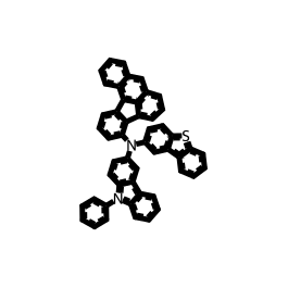 c1ccc(-n2c3ccccc3c3cc(N(c4ccc5sc6ccccc6c5c4)c4cccc5c4-c4cccc6cc7ccccc7c-5c46)ccc32)cc1